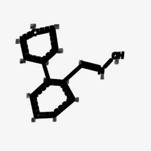 ON=Cc1ccccc1-c1ccccc1